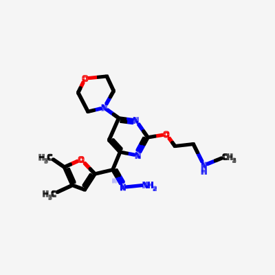 CNCCOc1nc(/C(=N\N)c2cc(C)c(C)o2)cc(N2CCOCC2)n1